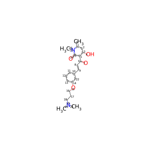 Cc1cc(O)c(C(=O)C=Cc2cccc(OCCCN(C)C)c2)c(=O)n1C